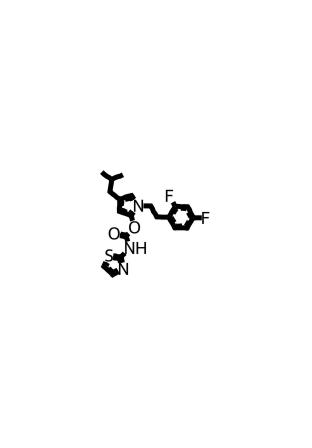 CC(C)Cc1cc(OC(=O)Nc2nccs2)n(CCc2ccc(F)cc2F)c1